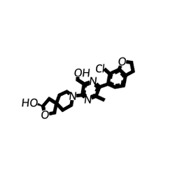 Cc1nc(N2CCC3(CC2)CO[C@@H](O)C3)c(CO)nc1-c1ccc2c(c1Cl)OCC2